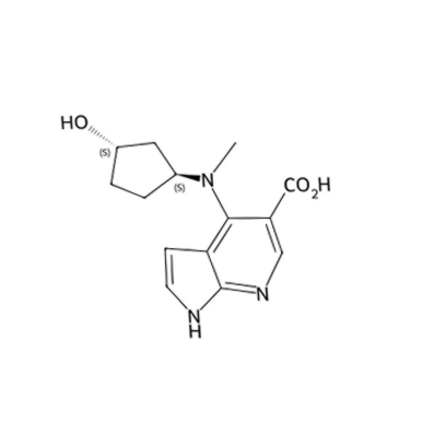 CN(c1c(C(=O)O)cnc2[nH]ccc12)[C@H]1CC[C@H](O)C1